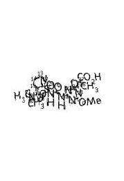 COc1nc(NC(=O)NS(=O)(=O)c2ncccc2C(=O)N(C)C)nc(OC(C)C(=O)O)n1